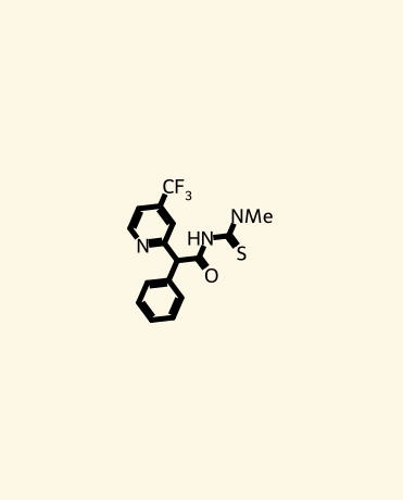 CNC(=S)NC(=O)C(c1ccccc1)c1cc(C(F)(F)F)ccn1